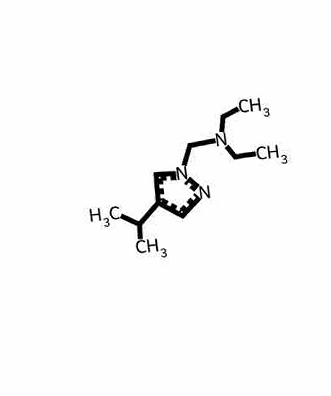 CCN(CC)Cn1cc(C(C)C)cn1